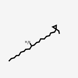 CCCCCCCCCC(N)CCCCCCCCCC1(CC)CC1